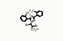 O=C(O)C(Br)C(Br)n1nc(-c2ccccc2C(F)(F)F)nc1-c1ccccc1C(F)(F)F